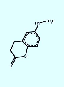 O=C(O)Nc1ccc2c(c1)CCC(=O)O2